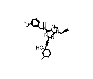 C#CCn1cnc2c(NCc3cccc(OC)c3)nc(C#C[C@]3(O)CCC[C@@H](C)C3)nc21